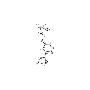 CS(=O)(=O)OCCc1cccc(C2OCCO2)c1